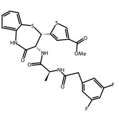 COC(=O)c1csc([C@H]2Sc3ccccc3NC(=O)[C@H]2NC(=O)[C@H](C)NC(=O)Cc2cc(F)cc(F)c2)c1